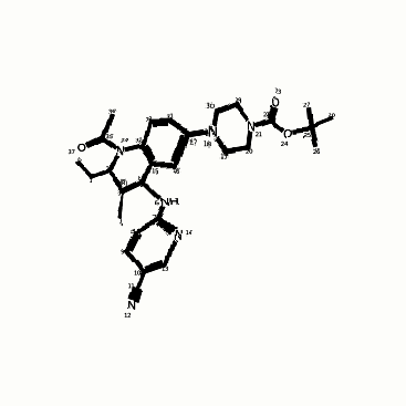 CCC1[C@H](C)C(Nc2ccc(C#N)cn2)c2cc(N3CCN(C(=O)OC(C)(C)C)CC3)ccc2N1C(C)=O